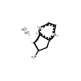 Cl.Cl.NC1Cc2nccnc2C1